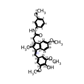 COc1cccc(NC(=O)CC2=C(C)/C(=C/c3cc(OC)c(O)c(OC)c3)c3ccc(OC)cc32)c1